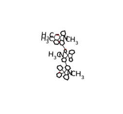 CN1c2ccccc2C(c2ccccc2)(c2ccccc2)c2cc(-c3ccc4c(c3)C3(c5ccccc5-c5ccccc53)c3ccc(-c5ccc6c(c5)N(C)c5ccccc5C65c6ccccc6C(C)(C)c6ccccc65)cc3N4C)ccc21